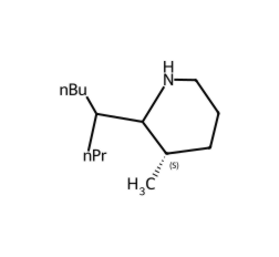 CCCCC(CCC)C1NCCC[C@@H]1C